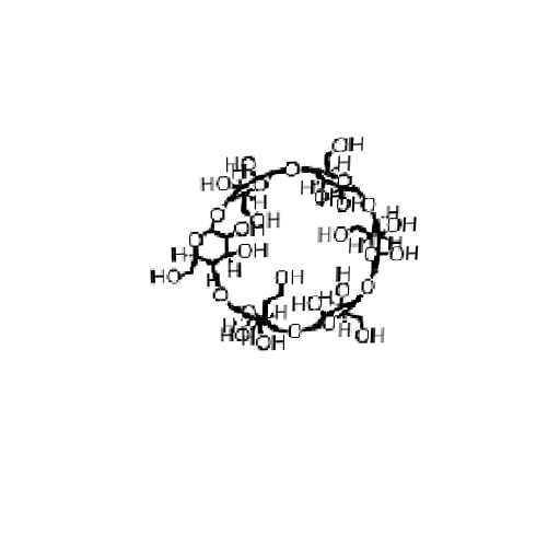 OCC[C@H]1OC2O[C@H]3[C@H](O)C(O)C(OC4[C@H](O)C(O)C(OC5[C@@H](CO)OC(O[C@H]6[C@H](O)C(O)C(OC7[C@H](O)C(O)C(OC1[C@H](O)[C@H]2O)O[C@@H]7CO)O[C@@H]6CO)[C@H](O)[C@H]5O)O[C@@H]4CO)O[C@@H]3CO